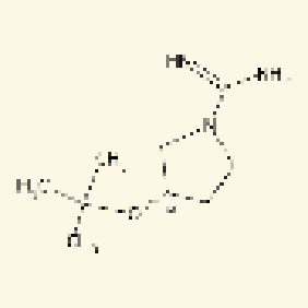 CC(C)(C)O[C@H]1CCN(C(=N)N)C1